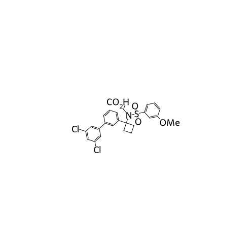 COc1cccc(S(=O)(=O)N(CC(=O)O)C2(c3cccc(-c4cc(Cl)cc(Cl)c4)c3)CCC2)c1